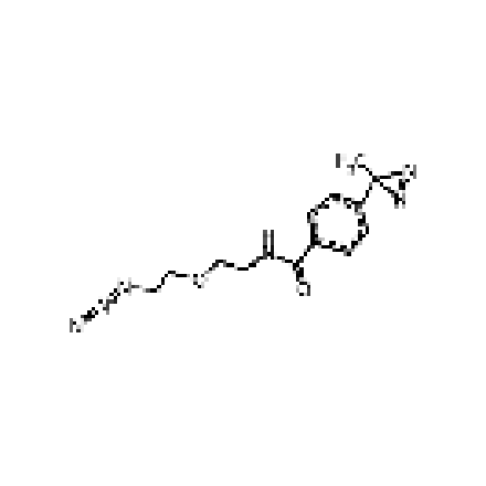 [N-]=[N+]=NCCOCCNC(=O)c1ccc(C2(C(F)(F)F)N=N2)cc1